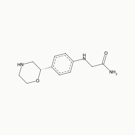 NC(=O)CNc1ccc([C@H]2CNCCO2)cc1